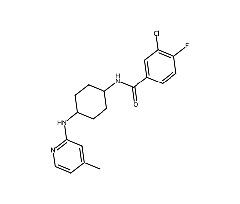 Cc1ccnc(NC2CCC(NC(=O)c3ccc(F)c(Cl)c3)CC2)c1